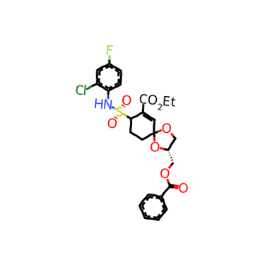 CCOC(=O)C1=CC2(CCC1S(=O)(=O)Nc1ccc(F)cc1Cl)OC[C@H](COC(=O)c1ccccc1)O2